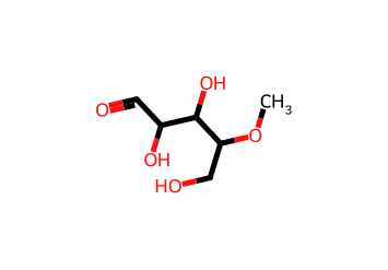 COC(CO)C(O)C(O)C=O